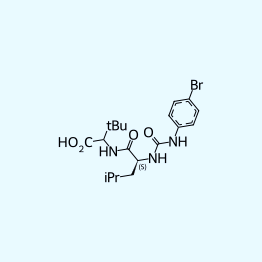 CC(C)C[C@H](NC(=O)Nc1ccc(Br)cc1)C(=O)NC(C(=O)O)C(C)(C)C